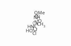 COc1cnc(C(=O)N2CCc3[nH]c4c(O)c(Cl)ccc4c3[C@@H]2C)nc1